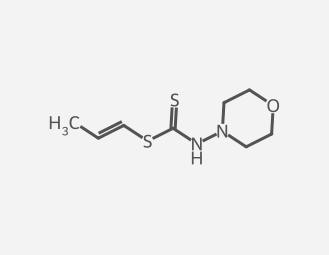 CC=CSC(=S)NN1CCOCC1